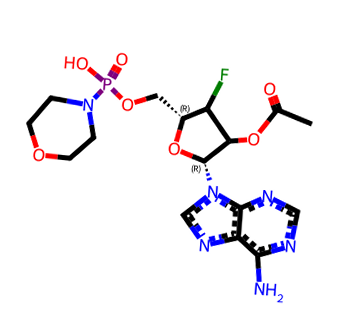 CC(=O)OC1C(F)[C@@H](COP(=O)(O)N2CCOCC2)O[C@H]1n1cnc2c(N)ncnc21